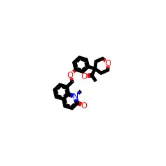 CC(=O)C1(c2cccc(OCc3cccc4ccc(=O)n(C)c34)c2)CCOCC1